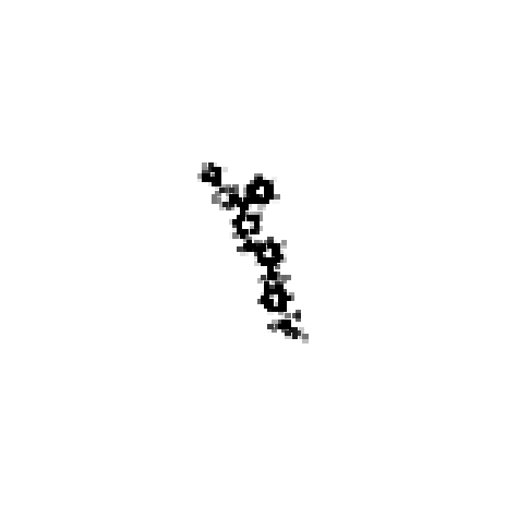 CC(=O)Nc1ccc2oc(-c3ccnc(C(=O)N4CCN(C(c5ccccc5)c5nnn(C6COC6)n5)CC4)c3)nc2c1